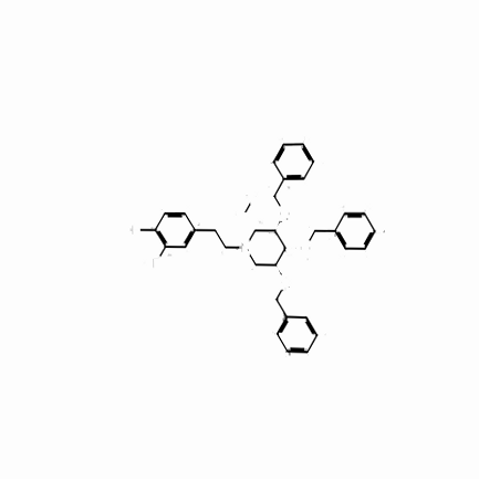 Fc1ccc(CCN2C[C@H](OCc3ccccc3)[C@@H](OCc3ccccc3)[C@H](OCc3ccccc3)[C@H]2CBr)cc1F